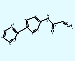 C=CC(=O)Nc1ccc(-c2ncccn2)cc1